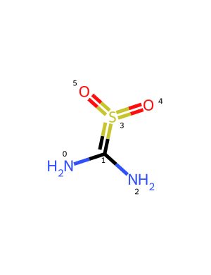 NC(N)=S(=O)=O